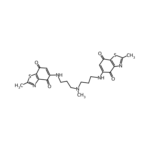 Cc1nc2c(s1)C(=O)C=C(NCCCN(C)CCCNC1=CC(=O)c3sc(C)nc3C1=O)C2=O